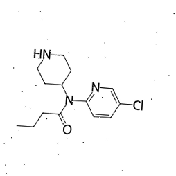 CCCC(=O)N(c1ccc(Cl)cn1)C1CCNCC1